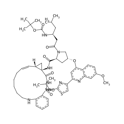 COc1ccc2c(O[C@@H]3C[C@@H](C(=O)N[C@]45C[C@H]4/C=C\CCCCCNc4ccccc4S(=O)(=O)NC5=O)N(C(=O)C[C@H](CC(C)C)NC(=O)OC(C)(C)C)C3)cc(-c3csc(NC(C)C)n3)nc2c1